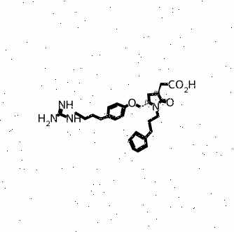 N=C(N)NCCCCc1ccc(OC[C@@H]2C[C@@H](CC(=O)O)C(=O)N2CCCc2ccccc2)cc1